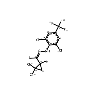 CC(=NNc1c(Cl)cc(C(F)(F)F)cc1Cl)C1(C)CC1(Cl)Cl